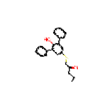 CCCC(=O)CSc1cc(-c2ccccc2)c(O)c(-c2ccccc2)c1